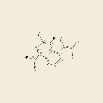 FC(F)=C(F)c1cccc(C(F)=C(F)F)c1C(F)=C(F)F